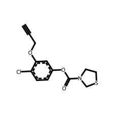 C#CCOc1cc(OC(=O)N2CCSC2)ccc1Cl